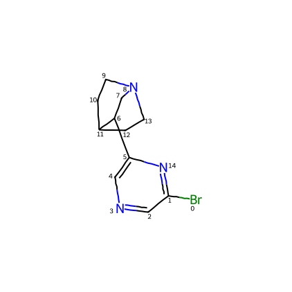 Brc1cncc(C2CN3CCC2CC3)n1